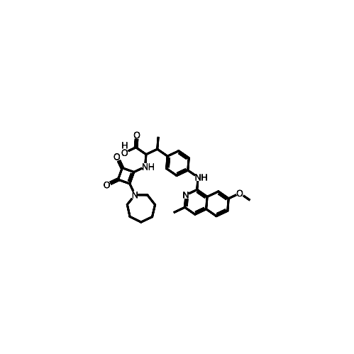 COc1ccc2cc(C)nc(Nc3ccc(C(C)C(Nc4c(N5CCCCCC5)c(=O)c4=O)C(=O)O)cc3)c2c1